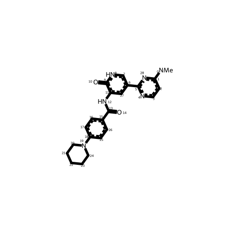 CNc1ccnc(-c2c[nH]c(=O)c(NC(=O)c3ccc(N4CCCCC4)cc3)c2)n1